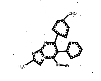 Cc1cn2c(NC(C)C)c(-c3ccccc3)c(-c3ccc(C=O)cc3)nc2n1